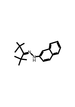 CC(C)(C)C(=NNc1ccc2ccccc2c1)C(C)(C)C